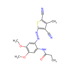 CCC(=O)Nc1cc(OC)c(OC)cc1N=Nc1sc(C#N)c(C)c1C#N